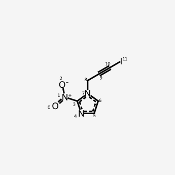 O=[N+]([O-])c1nccn1CC#CI